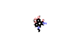 CCCn1cc(C2=C(c3cc(OC)c(OC)c(OC)c3)C(=O)NC2)c2ccccc21